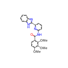 COc1ccc(C(=O)Nc2cccc(-c3nc4ccccc4[nH]3)n2)c(OC)c1OC